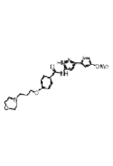 COc1csc(-c2cc(NC(=O)c3ccc(OCCCN4CCOCC4)cc3)[nH]n2)c1